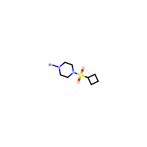 CCC(C)N1CCN(S(=O)(=O)C2CCC2)CC1